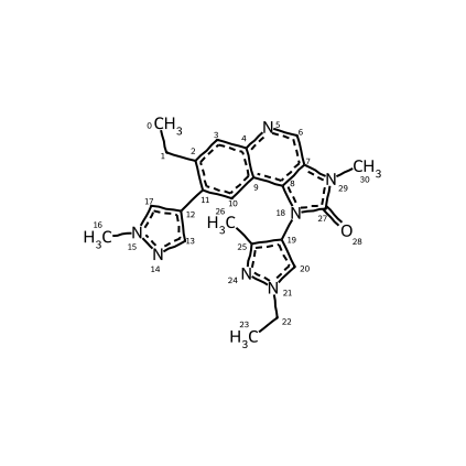 CCc1cc2ncc3c(c2cc1-c1cnn(C)c1)n(-c1cn(CC)nc1C)c(=O)n3C